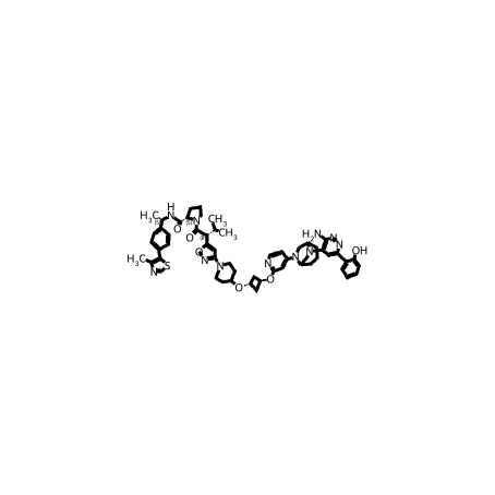 Cc1ncsc1-c1ccc([C@H](C)NC(=O)[C@@H]2CCCN2C(=O)[C@@H](c2cc(N3CCC(O[C@H]4C[C@H](Oc5cc(N6CC7CCCC6CN7c6cc(-c7ccccc7O)nnc6N)ccn5)C4)CC3)no2)C(C)C)cc1